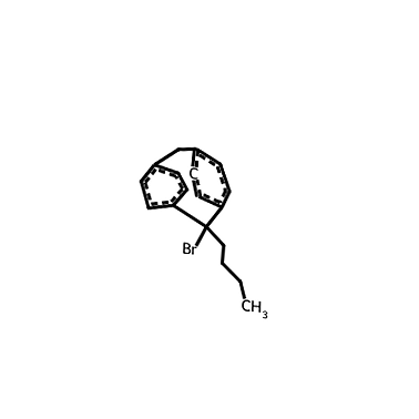 CCCCC1(Br)c2ccc(cc2)Cc2ccc1cc2